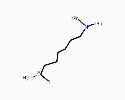 CCCCN(CCC)CCCCCC[C@@H](C)I